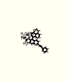 Cc1cc2nc(C#Cc3ccccc3)ccc2c(-c2ccc3c4c(ccnc24)CCO3)c1[C@H](OC(C)(C)C)C(=O)O